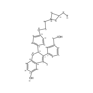 CC1=C(c2cccc(CO)c2)C(c2ccc(OCCN3CC(CF)C3)cc2)Oc2ccc(O)cc21